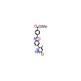 COC(=O)c1ccc(-c2nc3ccc(-c4n[nH]c(=O)cc4C)cc3o2)cc1